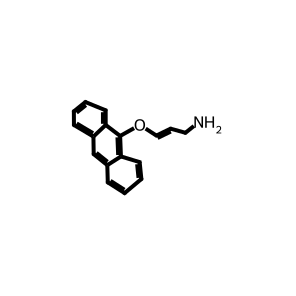 NCC=COc1c2ccccc2cc2ccccc12